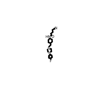 N#CCCCC(=O)NC1CCC(CCN2CCN(c3ccc(F)cc3)CC2)CC1